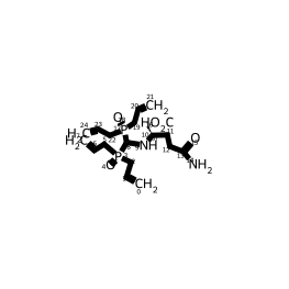 C=CCP(=O)(CC=C)C(N[C@@H](CCC(N)=O)C(=O)O)P(=O)(CC=C)CC=C